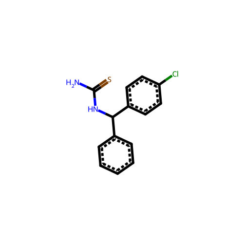 NC(=S)NC(c1ccccc1)c1ccc(Cl)cc1